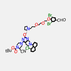 CC(C)(C)OC(=O)N1CCN(c2nc(OC[C@@H]3CCCN3CCCOCCOCCOc3c(Br)cc(C=O)cc3Br)nc3c2CCN(c2cccc4cccc(Cl)c24)C3)CC1CC#N